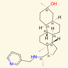 C[C@H](NCc1cccnc1)[C@H]1CC[C@H]2[C@@H]3CC[C@@H]4C[C@](C)(O)CC[C@@H]4[C@H]3CC[C@]12C